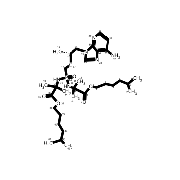 CC(C)CCCCOC(=O)C(C)(C)NP(=O)(CO[C@H](C)Cn1cnc2c(N)ccnc21)NC(C)(C)C(=O)OCCCCC(C)C